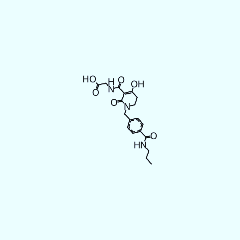 CCCNC(=O)c1ccc(CN2CCC(O)=C(C(=O)NCC(=O)O)C2=O)cc1